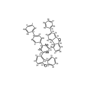 c1ccc(-c2ccc(-c3nc(-c4cccc5oc6ccccc6c45)nc(-c4cccc5oc6cc(-c7ccccc7)ccc6c45)n3)cc2)cc1